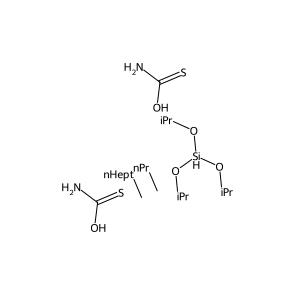 CC(C)O[SiH](OC(C)C)OC(C)C.CCCC.CCCCCCCC.NC(O)=S.NC(O)=S